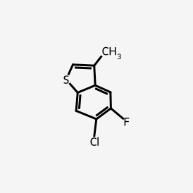 Cc1csc2cc(Cl)c(F)cc12